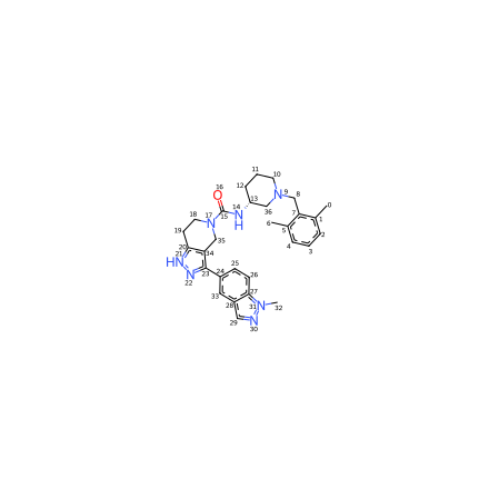 Cc1cccc(C)c1CN1CCC[C@@H](NC(=O)N2CCc3[nH]nc(-c4ccc5c(cnn5C)c4)c3C2)C1